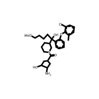 COCCCCC(O)(c1ccccc1Oc1c(C)cccc1Cl)C1CCCN(C(=O)C2CC(N)C(O)C2)C1